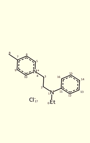 CCN(CC[n+]1ccc(C)cc1)c1ccccc1.[Cl-]